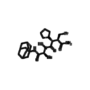 CC(C)C[C@@H](C(N)=O)[C@@H](C(=O)N(O)[C@H](C(=O)NC12CC3CC(CC(C3)C1)C2)C(C)(C)C)C1CCCC1